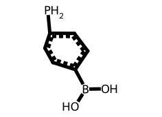 OB(O)c1ccc(P)cc1